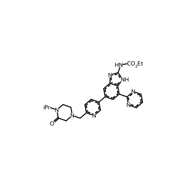 CCOC(=O)Nc1nc2cc(-c3ccc(CN4CCN(C(C)C)C(=O)C4)nc3)cc(-c3ncccn3)c2[nH]1